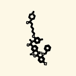 COc1cc(C(=O)N(C)c2ccc(C)cc2OCCCCCC(=O)N2CCN(C)CC2)ccc1NC(=O)c1ccc(Cl)cc1OCc1ccccc1